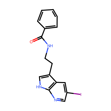 O=C(NCCc1c[nH]c2ncc(I)cc12)c1ccccc1